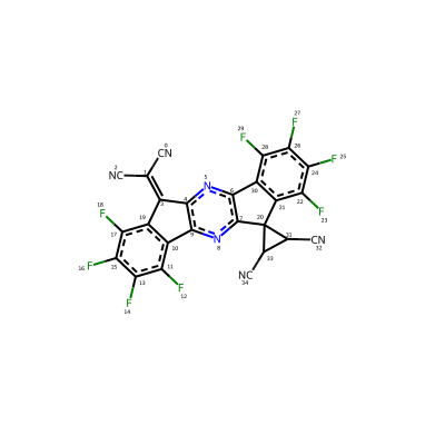 N#CC(C#N)=C1c2nc3c(nc2-c2c(F)c(F)c(F)c(F)c21)C1(c2c(F)c(F)c(F)c(F)c2-3)C(C#N)C1C#N